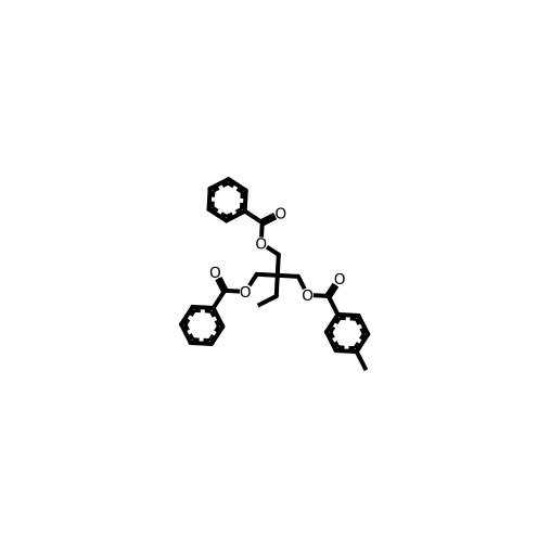 CCC(COC(=O)c1ccccc1)(COC(=O)c1ccccc1)COC(=O)c1ccc(C)cc1